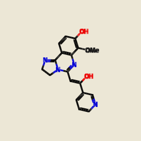 COc1c(O)ccc2c1N=C(/C=C(\O)c1cccnc1)N1CCN=C21